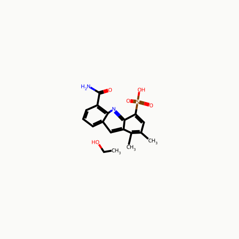 CCO.Cc1cc(S(=O)(=O)O)c2nc3c(C(N)=O)cccc3cc2c1C